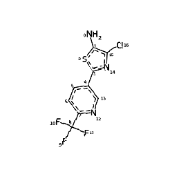 Nc1sc(-c2ccc(C(F)(F)F)nc2)nc1Cl